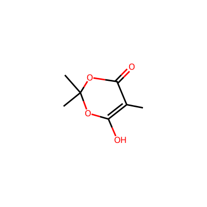 CC1=C(O)OC(C)(C)OC1=O